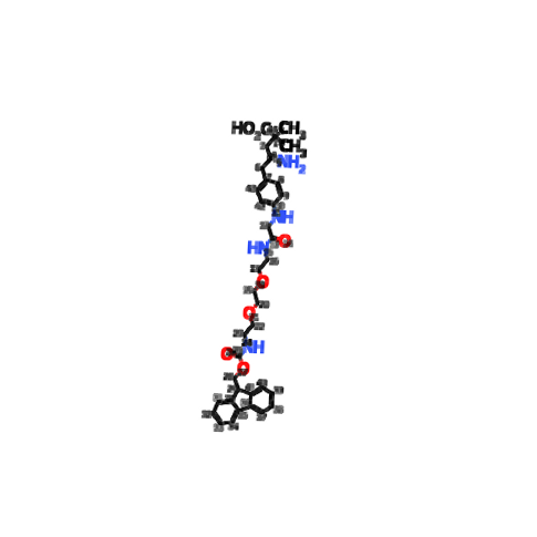 CC(C)(C[C@H](N)Cc1ccc(NCC(=O)NCCOCCOCCNC(=O)OCC2c3ccccc3-c3ccccc32)cc1)C(=O)O